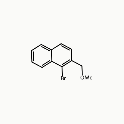 COCc1ccc2ccccc2c1Br